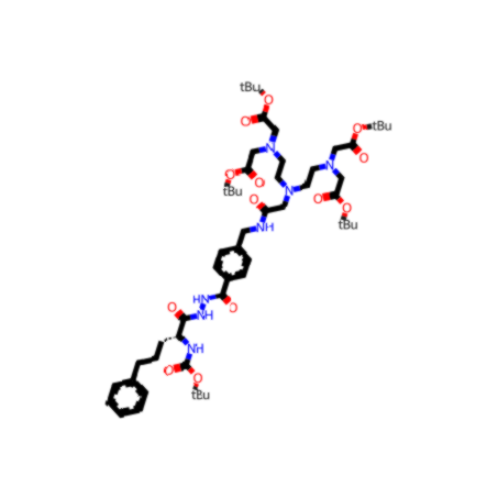 CC(C)(C)OC(=O)CN(CCN(CCN(CC(=O)OC(C)(C)C)CC(=O)OC(C)(C)C)CC(=O)NCc1ccc(C(=O)NNC(=O)[C@@H](CCCc2ccccc2)NC(=O)OC(C)(C)C)cc1)CC(=O)OC(C)(C)C